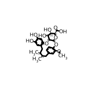 COc1cc(C[C@H](C)[C@H](C)Cc2ccc(O)c(O)c2)ccc1O[C@@H]1O[C@H](C(=O)O)[C@@H](O)[C@H](O)[C@H]1O